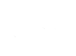 CC(=O)CNC(=O)c1ccc(N)cc1